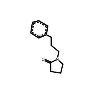 O=C1CCCN1CCCc1ccccc1